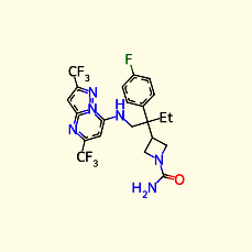 CCC(CNc1cc(C(F)(F)F)nc2cc(C(F)(F)F)nn12)(c1ccc(F)cc1)C1CN(C(N)=O)C1